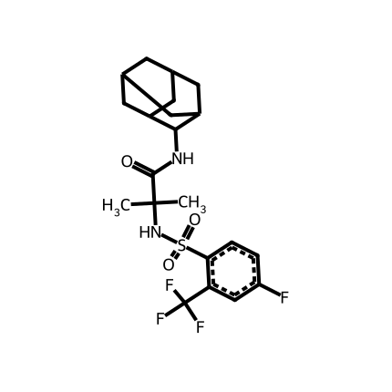 CC(C)(NS(=O)(=O)c1ccc(F)cc1C(F)(F)F)C(=O)NC1C2CC3CC(C2)CC1C3